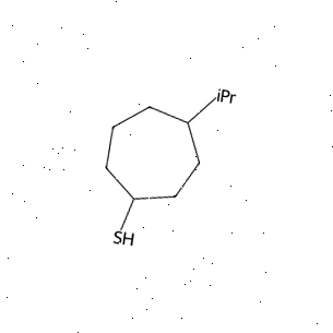 CC(C)C1CCCC(S)CC1